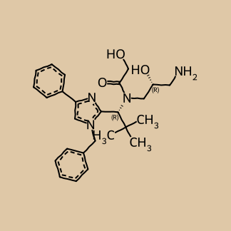 CC(C)(C)[C@H](c1nc(-c2ccccc2)cn1Cc1ccccc1)N(C[C@H](O)CN)C(=O)CO